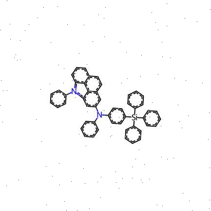 c1ccc(N(c2ccc([Si](c3ccccc3)(c3ccccc3)c3ccccc3)cc2)c2cc3ccc4cccc5c4c3c(c2)n5-c2ccccc2)cc1